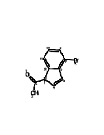 O=C(O)n1ccc2c(Br)cccc21